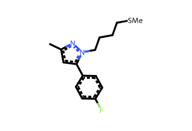 CSCCCCn1nc(C)cc1-c1ccc(F)cc1